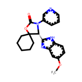 O=C1OC2(CCCCC2)[C@@H](c2nc3cc(OC(F)(F)F)ccc3[nH]2)N1c1cccnc1